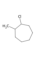 [CH2]C1CCCCCC1Cl